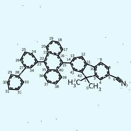 CC1(C)c2cc(C#N)ccc2-c2ccc(-c3c4ccccc4c(-c4cccc(-c5ccccc5)c4)c4ccccc34)cc21